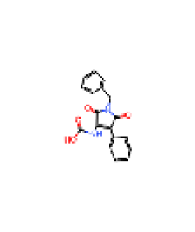 O=C(O)NC1=C(c2ccccc2)C(=O)N(Cc2ccccc2)C1=O